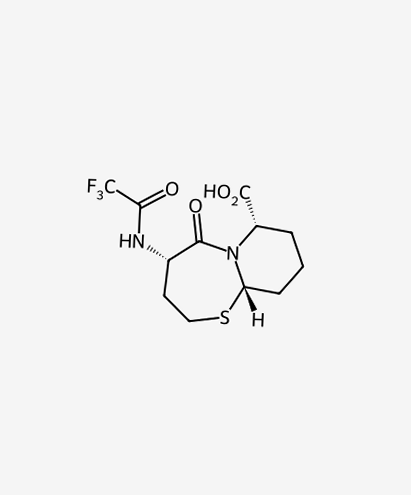 O=C(O)[C@@H]1CCC[C@@H]2SCC[C@H](NC(=O)C(F)(F)F)C(=O)N21